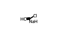 C#CCl.[NaH]